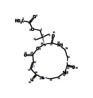 CC(C)(COC(=O)C(=O)O)[C@H]1OC(=O)/C=C/C(=O)SCCNC(=O)CCNC1=O